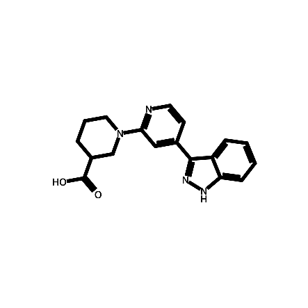 O=C(O)C1CCCN(c2cc(-c3n[nH]c4ccccc34)ccn2)C1